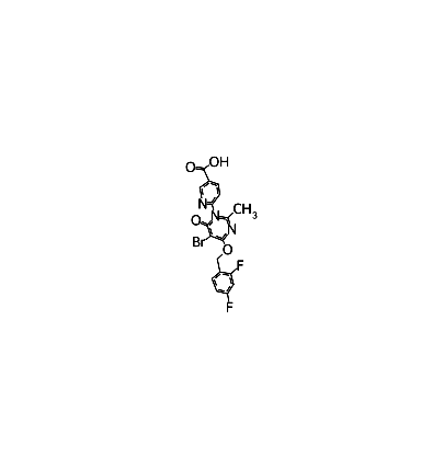 Cc1nc(OCc2ccc(F)cc2F)c(Br)c(=O)n1-c1ccc(C(=O)O)cn1